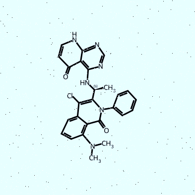 C[C@H](Nc1ncnc2[nH]ccc(=O)c12)c1c(Cl)c2cccc(N(C)C)c2c(=O)n1-c1ccccc1